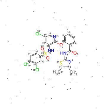 Cc1nc(NC(=O)c2ccccc2Oc2ncc(Cl)cc2NS(=O)(=O)c2ccc(Cl)c(Cl)c2)sc1C